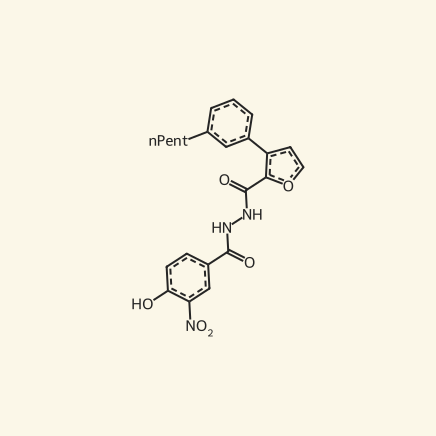 CCCCCc1cccc(-c2ccoc2C(=O)NNC(=O)c2ccc(O)c([N+](=O)[O-])c2)c1